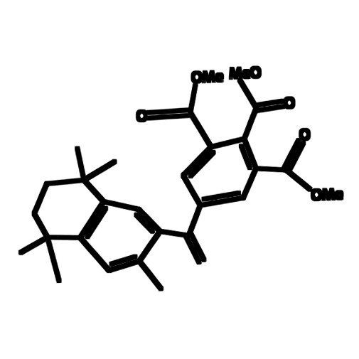 C=C(c1cc(C(=O)OC)c(C(=O)OC)c(C(=O)OC)c1)c1cc2c(cc1C)C(C)(C)CCC2(C)C